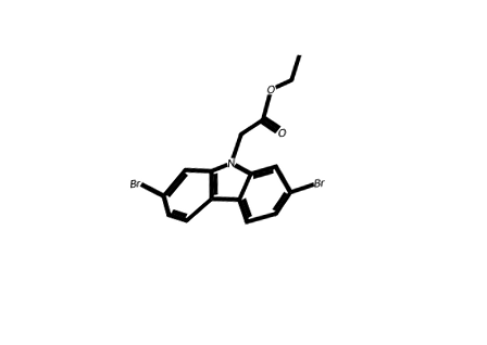 CCOC(=O)Cn1c2cc(Br)ccc2c2ccc(Br)cc21